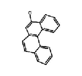 Clc1cc2ccc3ccccc3c2c2ccccc12